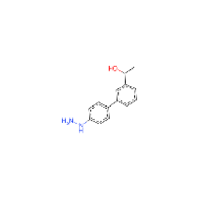 CC(O)c1cccc(-c2ccc(NN)cc2)c1